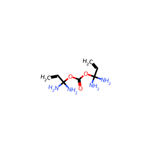 C=CC(N)(N)OC(=O)OC(N)(N)C=C